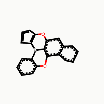 C1=CC2=C(C=1)B1c3ccccc3Oc3c1c(cc1ccccc31)O2